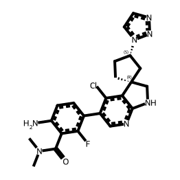 CN(C)C(=O)c1c(N)ccc(-c2cnc3c(c2Cl)[C@]2(CC[C@H](n4ccnn4)C2)CN3)c1F